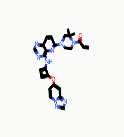 C=CC(=O)N1CCN(c2ccc3ncnc(NC4=CC=C4Oc4ccn5ncnc5c4)c3n2)CC1(C)C